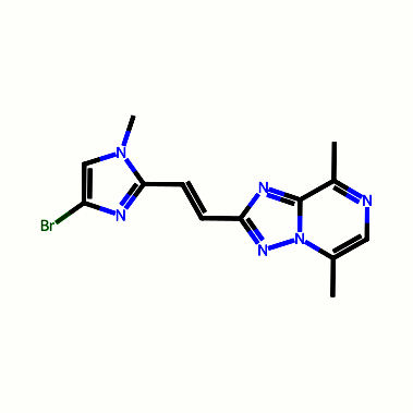 Cc1ncc(C)n2nc(C=Cc3nc(Br)cn3C)nc12